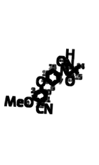 COc1cc(Oc2ccc(N3C(=O)NC(C)(C)C3=O)cc2)ccc1C#N